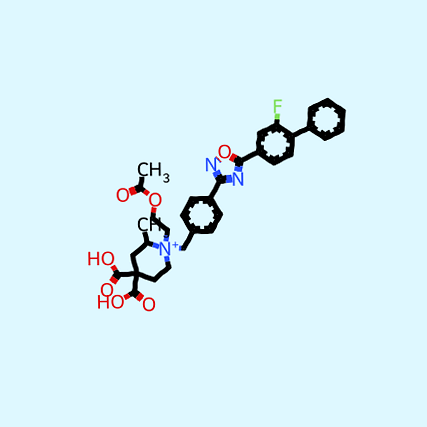 CC(=O)OCC[N+]1(Cc2ccc(-c3noc(-c4ccc(-c5ccccc5)c(F)c4)n3)cc2)CCC(C(=O)O)(C(=O)O)CC1C